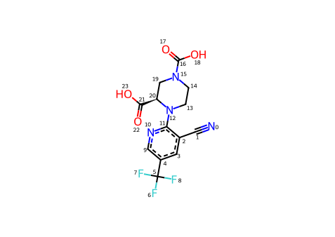 N#Cc1cc(C(F)(F)F)cnc1N1CCN(C(=O)O)C[C@@H]1C(=O)O